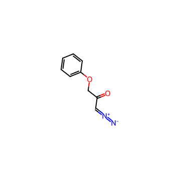 [N-]=[N+]=CC(=O)COc1ccccc1